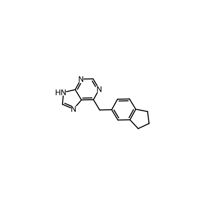 c1nc(Cc2ccc3c(c2)CCC3)c2nc[nH]c2n1